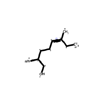 CCCC(CO)CC/C=C(/C)CC(F)(F)F